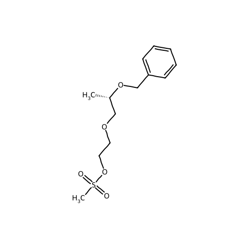 C[C@@H](COCCOS(C)(=O)=O)OCc1ccccc1